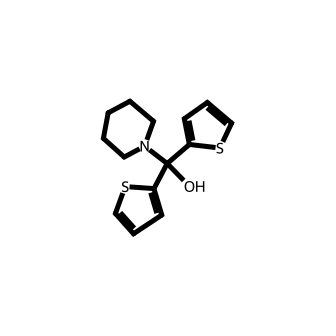 OC(c1cccs1)(c1cccs1)N1CCCCC1